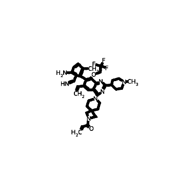 C=CC(=O)N1CC2(CCN(c3nc(C4CCN(C)CC4)nc4c(OCC(F)(F)F)c(-c5c(C)ccc(N)c5C=N)c(C=C)cc34)CC2)C1